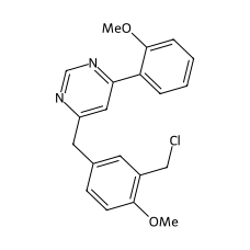 COc1ccc(Cc2cc(-c3ccccc3OC)ncn2)cc1CCl